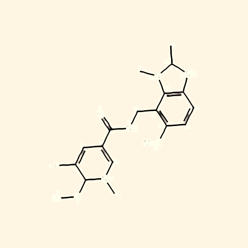 CCOC1C(F)=CC(C(=O)NCc2c(OC)ccc3c2N(C)C(C)N3)=CN1C